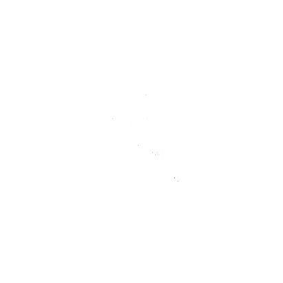 Cc1cccc(C(C)C)c1NC(N)=S